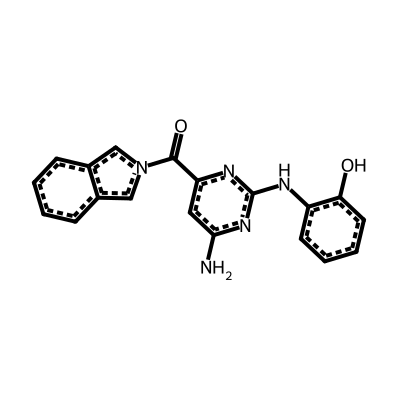 Nc1cc(C(=O)n2cc3ccccc3c2)nc(Nc2ccccc2O)n1